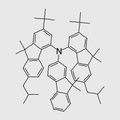 CC(C)Cc1ccc2c(c1)C(C)(C)c1cc(C(C)(C)C)cc(N(c3ccc4c(c3)C(C)(C)c3ccccc3-4)c3cc(C(C)(C)C)cc4c3-c3ccc(CC(C)C)cc3C4(C)C)c1-2